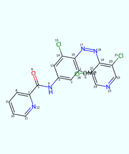 COc1cc(NC(=O)c2ccccn2)cc(Cl)c1/N=N\c1c(Cl)cncc1Cl